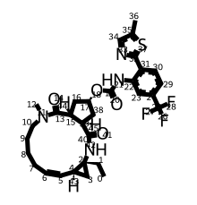 CC[C@@]12C[C@H]1/C=C\CCCCN(C)C(=O)[C@@H]1C[C@H](OC(=O)Nc3cc(C(F)(F)F)ccc3-c3ncc(C)s3)C[C@H]1C(=O)N2